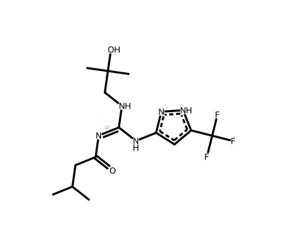 CC(C)CC(=O)/N=C(/NCC(C)(C)O)Nc1cc(C(F)(F)F)[nH]n1